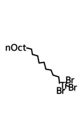 CCCCCCCCCCCCCCCCC[CH2][Ti]([Br])([Br])[Br]